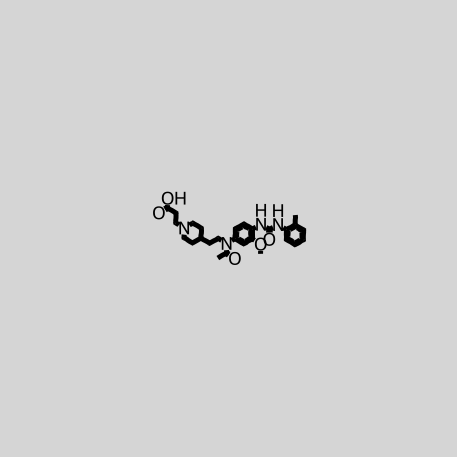 COc1cc(N(CCC2CCN(CCC(=O)O)CC2)C(C)=O)ccc1NC(=O)Nc1ccccc1C